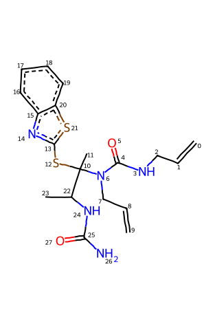 C=CCNC(=O)N(CC=C)C(C)(Sc1nc2ccccc2s1)C(C)NC(N)=O